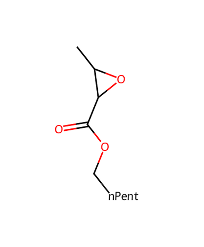 CCCCCCOC(=O)C1OC1C